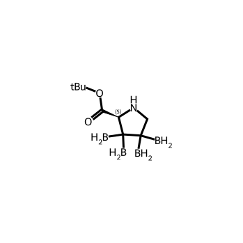 BC1(B)CN[C@H](C(=O)OC(C)(C)C)C1(B)B